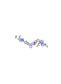 Cn1ncc(OC2CC3(C2)CN(C(=O)N2CC4(CC(n5cnc(C(F)(F)F)n5)C4)C2)C3)c1C(F)(F)F